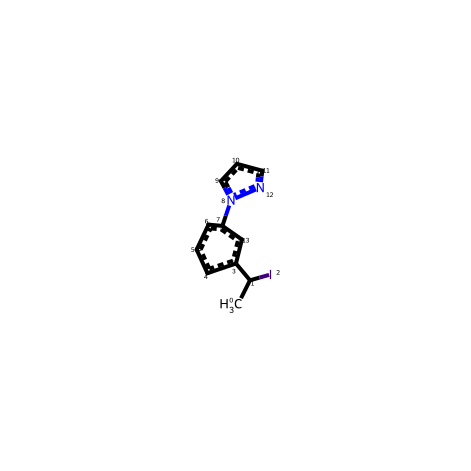 CC(I)c1cccc(-n2cccn2)c1